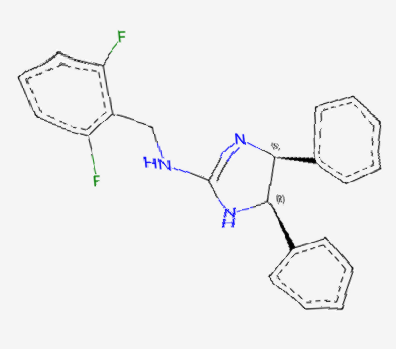 Fc1cccc(F)c1CNC1=N[C@@H](c2ccccc2)[C@@H](c2ccccc2)N1